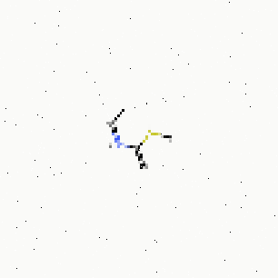 C=C(/N=C\C)SC